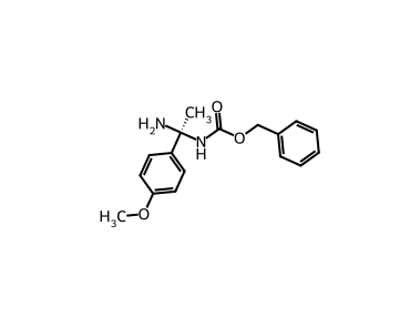 COc1ccc([C@@](C)(N)NC(=O)OCc2ccccc2)cc1